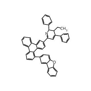 CCC1C(c2ccccc2)=CC(c2ccc3c(c2)c2ccccc2c2cccc(-c4ccc5oc6ccccc6c5c4)c23)=NC1c1ccccc1